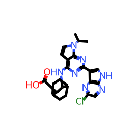 CC(C)n1ccc2c(NC3C4CCC(CC4)C3C(=O)O)nc(-c3c[nH]c4ncc(Cl)nc34)nc21